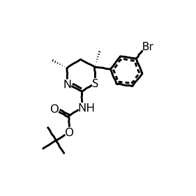 C[C@@H]1C[C@@](C)(c2cccc(Br)c2)SC(NC(=O)OC(C)(C)C)=N1